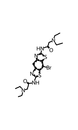 CCN(CC)CC(=O)Nc1nc2cc3nc(NC(=O)CN(CC)CC)sc3c(Br)c2s1